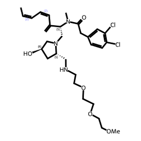 C=C(/C=C\C=C/C)[C@@H](CN1C[C@H](O)C[C@H]1CNCCOCCOCCOC)N(C)C(=O)Cc1ccc(Cl)c(Cl)c1